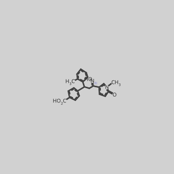 Cc1ccccc1C(C/C(=N\O)c1ccc(=O)n(C)c1)c1ccc(C(=O)O)cc1